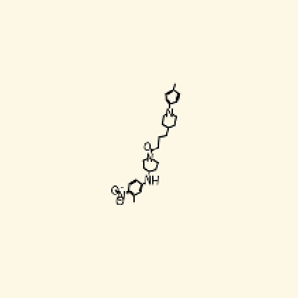 Cc1ccc(N2CCC(CCCC(=O)N3CCC(Nc4ccc([N+](=O)[O-])c(C)c4)CC3)CC2)cc1